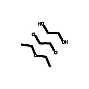 CCOCC.ClCCCl.OCCO